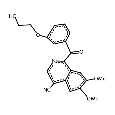 COc1cc2c(C#N)cnc(C(=O)c3cccc(OCCO)c3)c2cc1OC